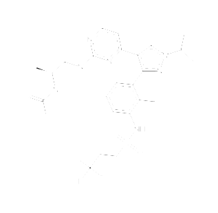 CC(C)n1cc(-c2ccnc(NC[C@H](C)NC(=O)O)n2)c(-c2cccc(NS(=O)(=O)CCC(F)(F)F)c2F)n1